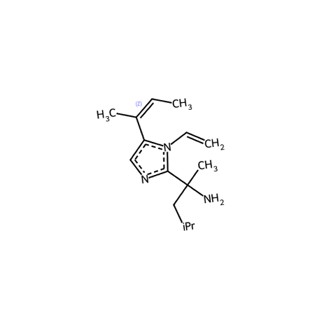 C=Cn1c(/C(C)=C\C)cnc1C(C)(N)CC(C)C